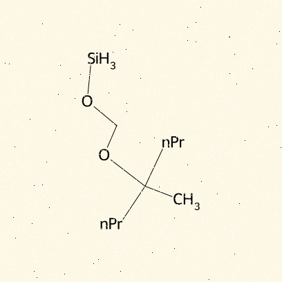 CCCC(C)(CCC)OCO[SiH3]